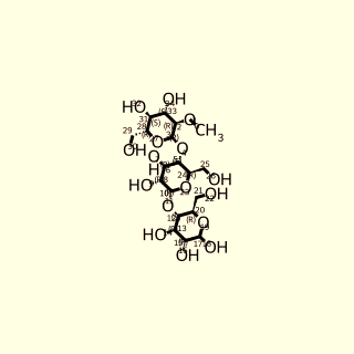 CO[C@H]1[C@@H](O[C@H]2[C@H](O)[C@@H](O)[C@@H](O[C@H]3[C@H](O)[C@@H](O)C(O)O[C@@H]3CO)O[C@@H]2CO)O[C@H](CO)[C@@H](O)[C@@H]1O